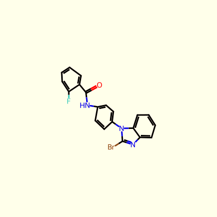 O=C(Nc1ccc(-n2c(Br)nc3ccccc32)cc1)c1ccccc1F